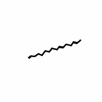 C=CCCCCCCCC=CCCC=CC